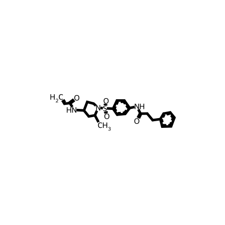 C=CC(=O)NC1CCN(S(=O)(=O)c2ccc(NC(=O)CCc3ccccc3)cc2)C(C)C1